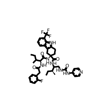 CCC(C)[C@H](NC(=O)Cc1ccccc1F)C(=O)N[C@]1(C(=O)NC(CNC(=O)Nc2ccncc2)[C@@H](C)CC)CCc2[nH]c3c(C(F)(F)F)cccc3c2C1